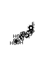 O=c1ccn([C@@H]2O[C@H](COP(=O)(O)O)[C@H](O)C2O)c(=O)n1Cc1noc2cc(F)ccc12